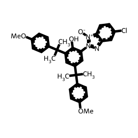 COc1ccc(C(C)(C)c2cc(-n3nc4cc(Cl)ccc4[n+]3[O-])c(O)c(C(C)(C)c3ccc(OC)cc3)c2)cc1